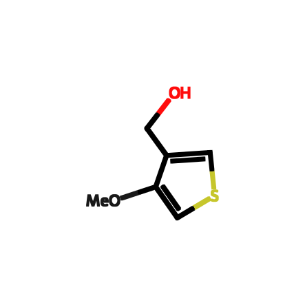 COc1cscc1CO